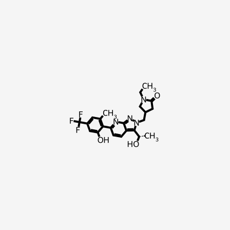 CCN1CC(Cn2nc3nc(-c4c(C)cc(C(F)(F)F)cc4O)ccc3c2[C@H](C)O)CC1=O